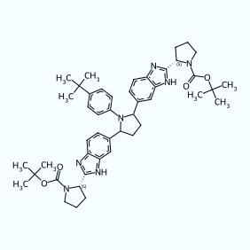 CC(C)(C)OC(=O)N1CCC[C@H]1c1nc2ccc(C3CCC(c4ccc5nc([C@@H]6CCCN6C(=O)OC(C)(C)C)[nH]c5c4)N3c3ccc(C(C)(C)C)cc3)cc2[nH]1